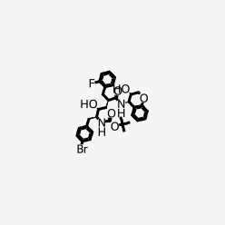 CC(C)(C)OC(=O)N[C@@H](Cc1ccc(Br)cc1)[C@@H](O)C[C@@H](Cc1ccccc1F)C(=O)N[C@H]1c2ccccc2OC[C@H]1O